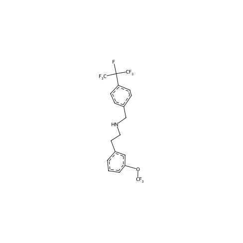 FC(F)(F)Oc1cccc(CCNCc2ccc(C(F)(C(F)(F)F)C(F)(F)F)cc2)c1